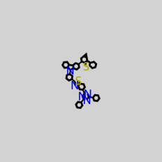 C1=c2cc(-c3ccc4c(c3)c3ccccc3n4-c3cccc(-c4nc5cc(-c6nc(-c7ccccc7)nc(-c7ccccc7)n6)ccc5s4)c3)c3sc4ccccc4c3c2=1